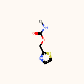 CCNC(=O)OCc1nccs1